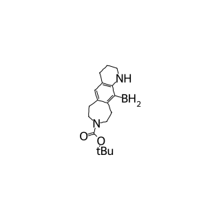 Bc1c2c(cc3c1NCCC3)CCN(C(=O)OC(C)(C)C)CC2